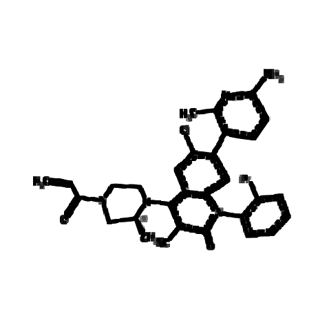 C=CC(=O)N1CCN(c2c(C#N)c(=O)n(-c3ccccc3C(C)C)c3cc(-c4ccc(N)nc4C)c(Cl)cc23)[C@@H](C)C1